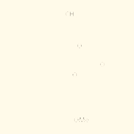 COCCOC(=O)Oc1ccccc1C